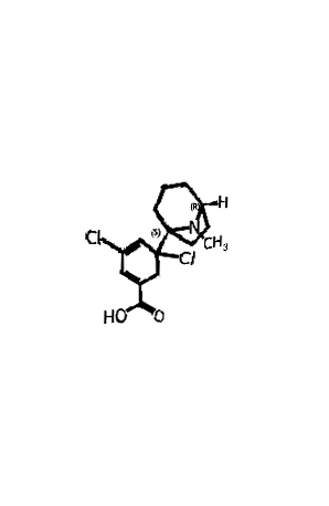 CN1[C@@H]2CCC[C@@]1(C1(Cl)C=C(Cl)C=C(C(=O)O)C1)CC2